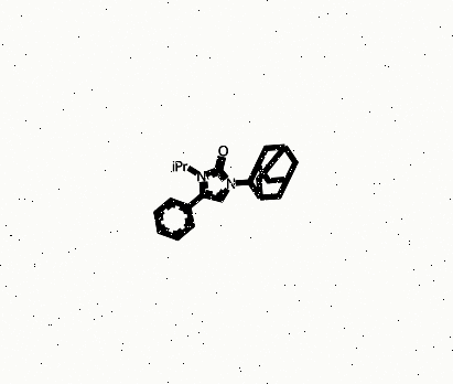 CC(C)n1c(-c2ccccc2)cn(C2C3CC4CC(C3)CC2C4)c1=O